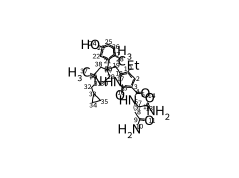 CCc1cc(C(=O)N[C@@H](CC(N)=O)C(N)=O)c(=O)[nH]c1C[C@@]1(c2cc(O)ccc2C)CCN(CC2CC2)[C@H](C)C1